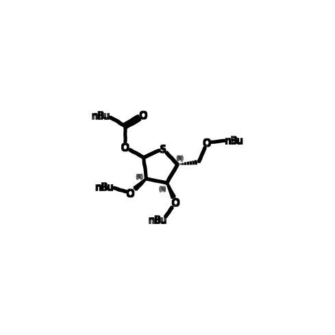 CCCCOC[C@H]1SC(OC(=O)CCCC)[C@H](OCCCC)[C@@H]1OCCCC